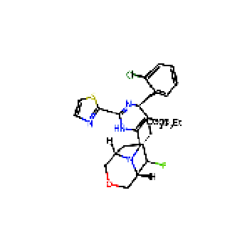 CCOC(=O)C1=C(CN2[C@@H]3COC[C@H]2[C@H](F)[C@@H](CC(=O)O)C3)NC(c2nccs2)=N[C@H]1c1ccccc1Cl